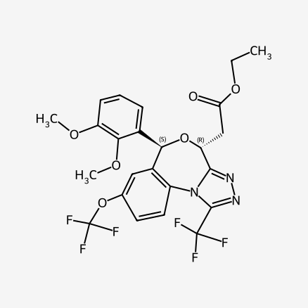 CCOC(=O)C[C@H]1O[C@H](c2cccc(OC)c2OC)c2cc(OC(F)(F)F)ccc2-n2c1nnc2C(F)(F)F